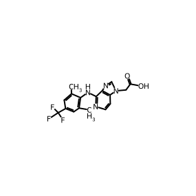 Cc1cc(C(F)(F)F)cc(C)c1Nc1nccc2c1ncn2CC(=O)O